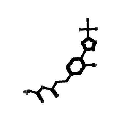 CC(=O)OC(=O)CC[n+]1ccc(-c2nc(C(F)(F)F)ns2)c(Br)c1